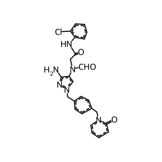 Nc1nn(Cc2ccc(Cn3ccccc3=O)cc2)cc1N(C=O)CC(=O)Nc1ccccc1Cl